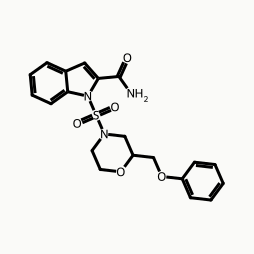 NC(=O)c1cc2ccccc2n1S(=O)(=O)N1CCOC(COc2ccccc2)C1